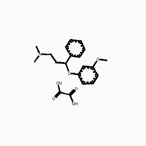 COc1cccc(OC(CCN(C)C)c2ccccc2)c1.O=C(O)C(=O)O